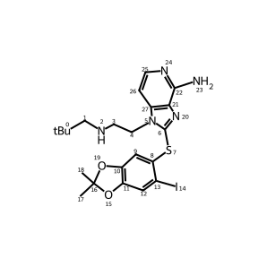 CC(C)(C)CNCCn1c(Sc2cc3c(cc2I)OC(C)(C)O3)nc2c(N)nccc21